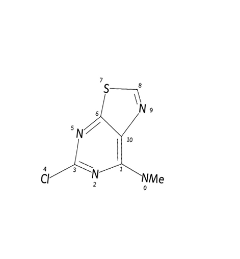 CNc1nc(Cl)nc2scnc12